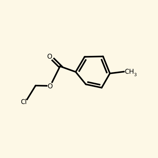 Cc1ccc(C(=O)OCCl)cc1